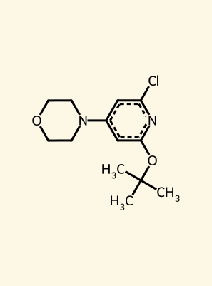 CC(C)(C)Oc1cc(N2CCOCC2)cc(Cl)n1